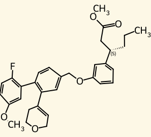 CCC[C@@H](CC(=O)OC)c1cccc(OCc2ccc(-c3cc(OC)ccc3F)c(C3=CCOCC3)c2)c1